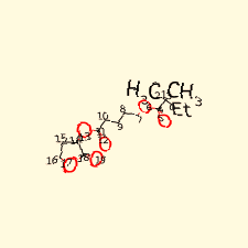 CCC(C)(C)C(=O)OCCCCC(=O)OC1CCOC1=O